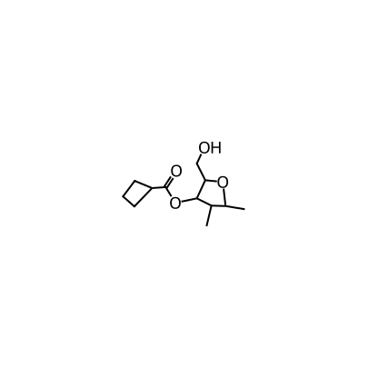 CC1OC(CO)C(OC(=O)C2CCC2)C1C